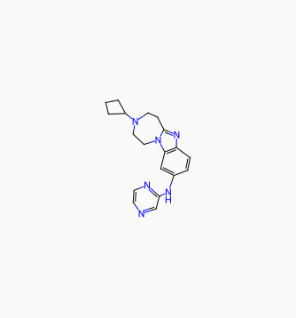 c1cnc(Nc2ccc3nc4n(c3c2)CCN(C2CCC2)CC4)cn1